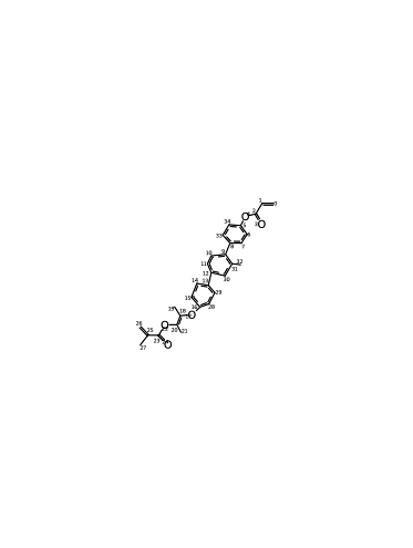 C=CC(=O)Oc1ccc(-c2ccc(-c3ccc(O/C(C)=C(\C)OC(=O)C(=C)C)cc3)cc2C)cc1